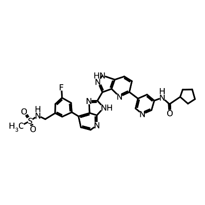 CS(=O)(=O)NCc1cc(F)cc(-c2ccnc3[nH]c(-c4n[nH]c5ccc(-c6cncc(NC(=O)C7CCCC7)c6)nc45)nc23)c1